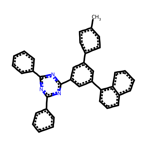 Cc1ccc(-c2cc(-c3nc(-c4ccccc4)nc(-c4ccccc4)n3)cc(-c3cccc4ccccc34)c2)cc1